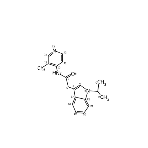 CC(C)n1cc(CC(=O)Nc2ccncc2Cl)c2ccccc21